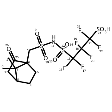 CC1(C)C2CCC1(CS(=O)(=O)NS(=O)(=O)C(F)(F)C(F)(F)C(F)(F)S(=O)(=O)O)C(=O)C2